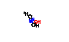 [3H]c1ccc2nn(-c3cccc([3H])c3O)nc2c1